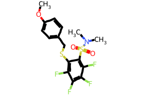 COc1ccc(CSc2c(F)c(F)c(F)c(F)c2S(=O)(=O)N(C)C)cc1